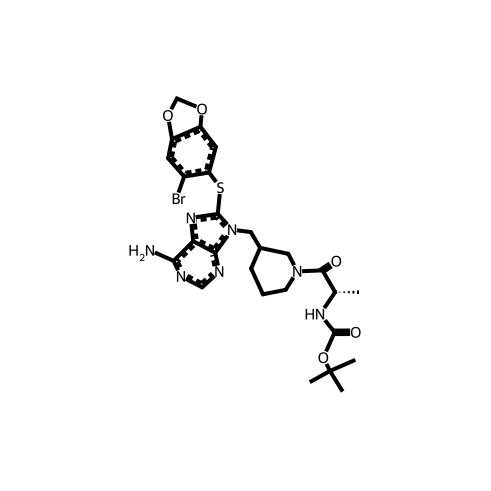 C[C@H](NC(=O)OC(C)(C)C)C(=O)N1CCCC(Cn2c(Sc3cc4c(cc3Br)OCO4)nc3c(N)ncnc32)C1